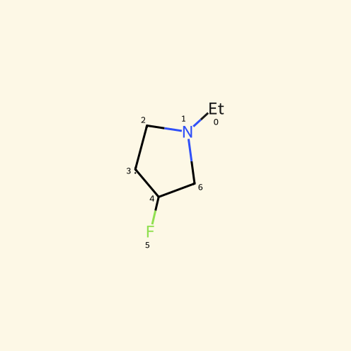 CCN1C[CH]C(F)C1